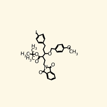 COc1ccc(COC(CCc2ccc(I)cc2)C(CCN2C(=O)c3ccccc3C2=O)C(=O)OC(C)(C)C)cc1